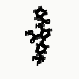 O=C(Nc1scc(-c2ccc(C(F)(F)F)cc2)c1C(=O)O)c1cccs1